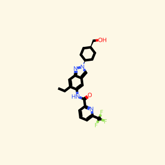 CCc1cc2nn([C@H]3CC[C@H](CO)CC3)cc2cc1NC(=O)c1cccc(C(F)(F)F)n1